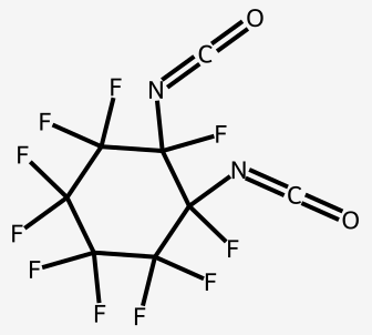 O=C=NC1(F)C(F)(F)C(F)(F)C(F)(F)C(F)(F)C1(F)N=C=O